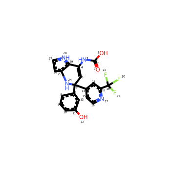 O=C(O)NC1=CC(c2cccc(O)c2)(c2ccnc(C(F)(F)F)c2)Nc2cc[nH]c21